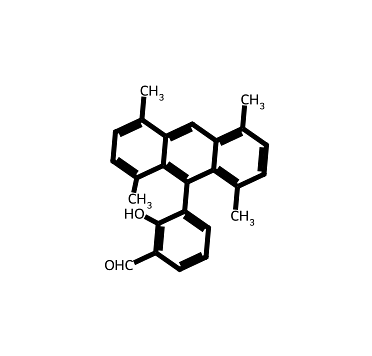 Cc1ccc(C)c2c(-c3cccc(C=O)c3O)c3c(C)ccc(C)c3cc12